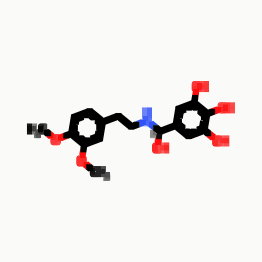 COc1ccc(CCN[C@H](O)c2cc(O)c(O)c(O)c2)cc1OC